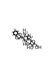 NC1c2ncn([C@@H]3O[C@H](CO)C(O)C3O)c2N=CN1C([C]=O)Oc1ccccc1